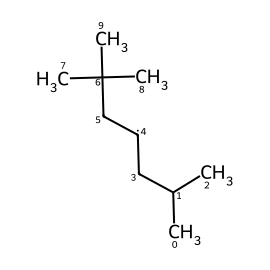 CC(C)C[CH]CC(C)(C)C